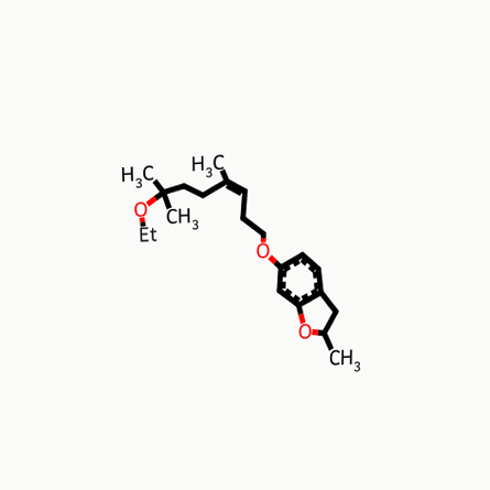 CCOC(C)(C)CCC(C)=CCCOc1ccc2c(c1)OC(C)C2